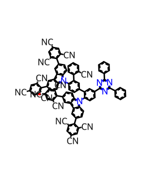 N#Cc1cc(C#N)c(-c2ccc3c(c2)c2cc(-c4c(C#N)cc(C#N)cc4C#N)ccc2n3-c2ccc(-c3nc(-c4ccccc4)nc(-c4ccccc4)n3)cc2-c2ccc(-n3c4ccc(-c5c(C#N)cc(C#N)cc5C#N)cc4c4cc(-c5c(C#N)cc(C#N)cc5C#N)ccc43)c(-c3ccccc3C#N)c2)c(C#N)c1